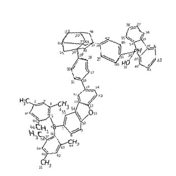 Cc1cc(C)c(B(c2ccc3oc4ccc(-c5ccc(C67CC8CC(C6)CC(c6ccc([PH]9(O)c%10ccccc%10-c%10ccccc%109)cc6)(C8)C7)cc5)cc4c3c2)c2c(C)cc(C)cc2C)c(C)c1